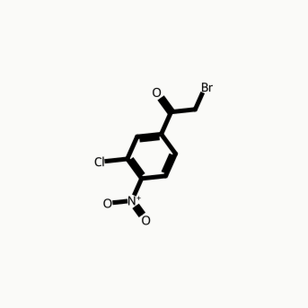 O=C(CBr)c1ccc([N+](=O)[O-])c(Cl)c1